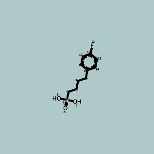 O=P(O)(O)CCCCc1ccc(F)cc1